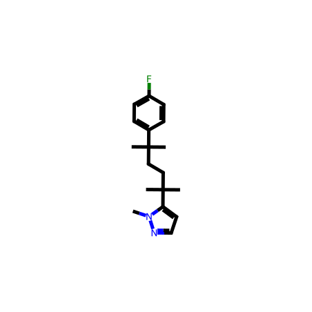 Cn1nccc1C(C)(C)CCC(C)(C)c1ccc(F)cc1